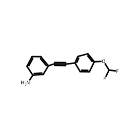 Nc1cccc(C#Cc2ccc(OC(F)F)cc2)c1